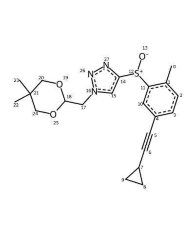 Cc1ccc(C#CC2CC2)cc1[S+]([O-])c1cn(CC2OCC(C)(C)CO2)nn1